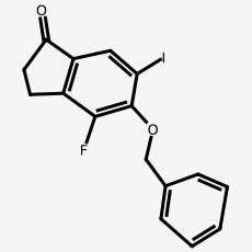 O=C1CCc2c1cc(I)c(OCc1ccccc1)c2F